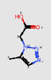 Cc1cnnn1CC(=O)O